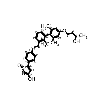 Cc1cc(OCC[C@H](C)O)cc(C)c1-c1cccc(COc2ccc(-c3cc(O)n[s+]3[O-])cc2)c1C